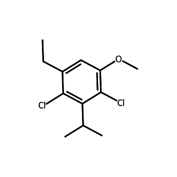 CCc1cc(OC)c(Cl)c(C(C)C)c1Cl